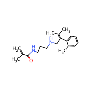 C=C(C)C(=O)NCCCNCC(=C(C)C)c1ccccc1C